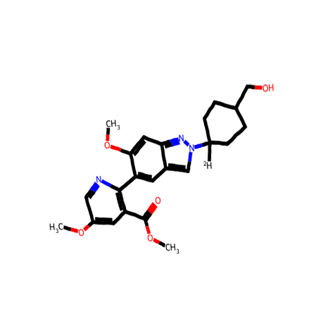 [2H]C1(n2cc3cc(-c4ncc(OC)cc4C(=O)OC)c(OC)cc3n2)CCC(CO)CC1